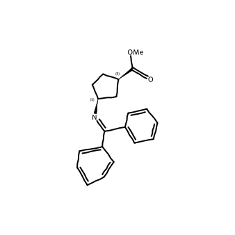 COC(=O)[C@@H]1CC[C@H](N=C(c2ccccc2)c2ccccc2)C1